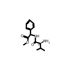 COC(=O)C(NC(=O)[C@@H](N)C(C)C)c1ccccc1